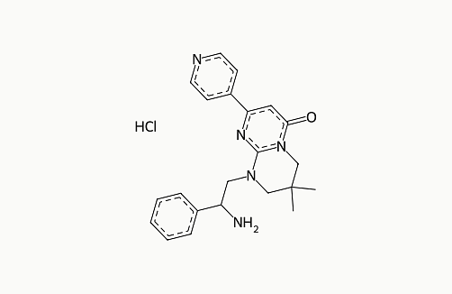 CC1(C)CN(CC(N)c2ccccc2)c2nc(-c3ccncc3)cc(=O)n2C1.Cl